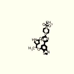 C[C@@H](Oc1cc(-c2cnc(N3CCN(S(C)(=O)=O)CC3)cn2)cc2ncsc12)C1CNC(=O)C1